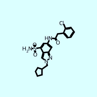 NS(=O)(=O)c1cc(NC(=O)Cc2ccccc2Cl)cc2nn(CC3CCCC3)cc12